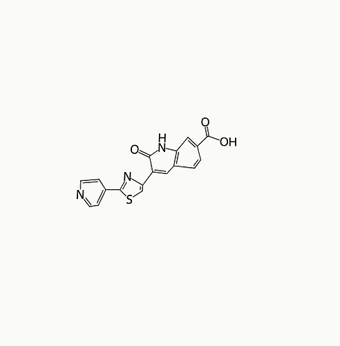 O=C(O)c1ccc2cc(-c3csc(-c4ccncc4)n3)c(=O)[nH]c2c1